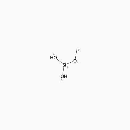 CO[Si](O)O